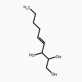 CCCCC=CC(O)C(O)CO